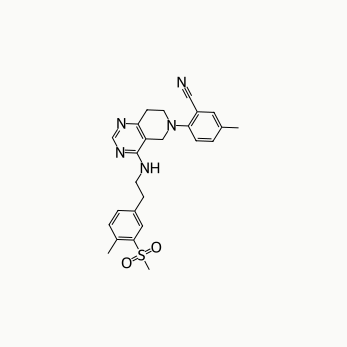 Cc1ccc(N2CCc3ncnc(NCCc4ccc(C)c(S(C)(=O)=O)c4)c3C2)c(C#N)c1